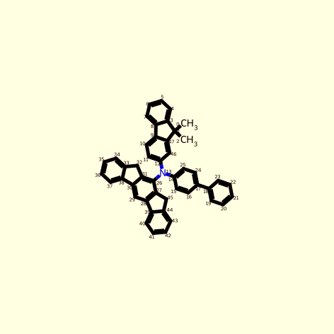 CC1(C)c2ccccc2-c2ccc(N(c3ccc(-c4ccccc4)cc3)c3c4c(cc5c3Cc3ccccc3-5)-c3ccccc3C4)cc21